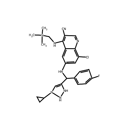 C[Si](C)(C)CNc1c(C#N)cnc2c(Cl)cc(NC(C3=CN(C4CC4)NN3)c3ccc(F)cc3)cc12